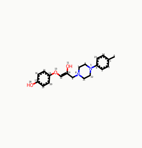 Cc1ccc(N2CCN(C/C(O)=C/Oc3ccc(O)cc3)CC2)cc1